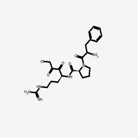 N=C(N)NCCC[C@H](NC(=O)[C@@H]1CCCN1C(=O)C(N)Cc1ccccc1)C(=O)C(=O)CCl